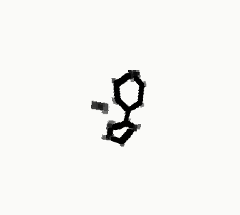 Cl.c1nc(C2CCNCC2)no1